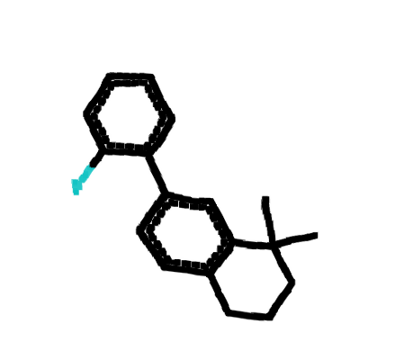 CC1(C)CCCc2ccc(-c3ccccc3F)cc21